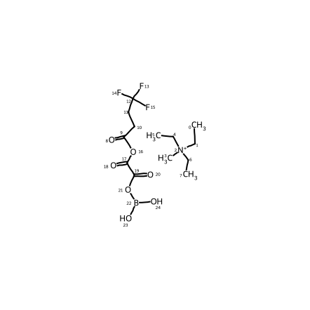 CC[N+](C)(CC)CC.O=C(CCC(F)(F)F)OC(=O)C(=O)OB(O)O